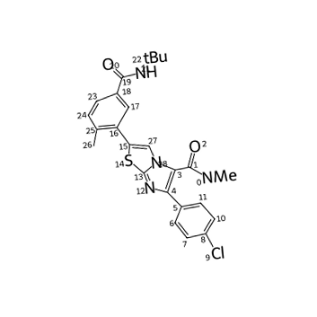 CNC(=O)c1c(-c2ccc(Cl)cc2)nc2sc(-c3cc(C(=O)NC(C)(C)C)ccc3C)cn12